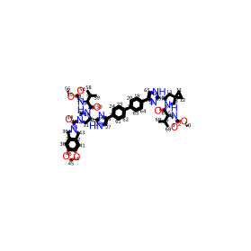 COC(=O)NC(C(=O)N1CC2(CC2)C[C@H]1c1nc(-c2ccc(-c3ccc(-c4c[nH]c([C@@H]5CN(C(=O)N6Cc7cc8c(cc7C6)OCO8)CN5C(=O)[C@@H](NC(=O)OC)C(C)C)n4)cc3)cc2)c[nH]1)C(C)C